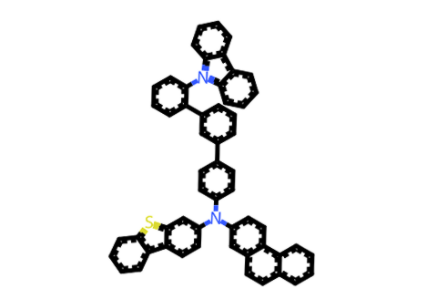 c1cc(-c2ccc(N(c3ccc4c(ccc5ccccc54)c3)c3ccc4c(c3)sc3ccccc34)cc2)cc(-c2ccccc2-n2c3ccccc3c3ccccc32)c1